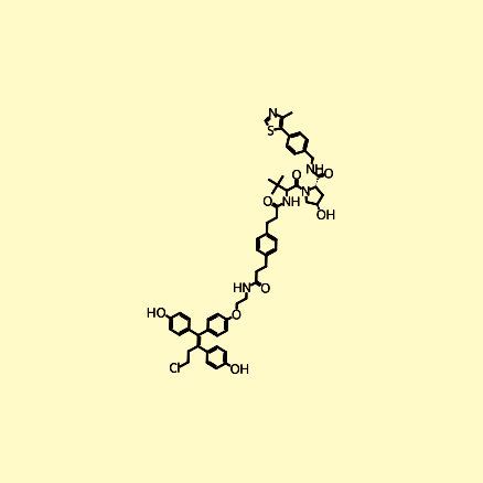 Cc1ncsc1-c1ccc(CNC(=O)[C@@H]2C[C@@H](O)CN2C(=O)C(NC(=O)CCc2ccc(CCC(=O)NCCOc3ccc(C(=C(CCCl)c4ccc(O)cc4)c4ccc(O)cc4)cc3)cc2)C(C)(C)C)cc1